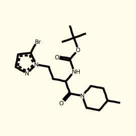 CC1CCN(C(=O)C(CCn2nccc2Br)NC(=O)OC(C)(C)C)CC1